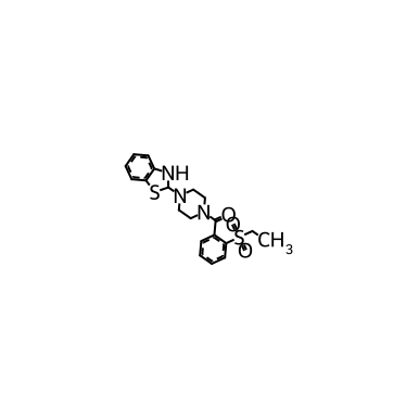 CCS(=O)(=O)c1ccccc1C(=O)N1CCN(C2Nc3ccccc3S2)CC1